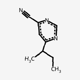 CCC(C)c1cc(C#N)ncn1